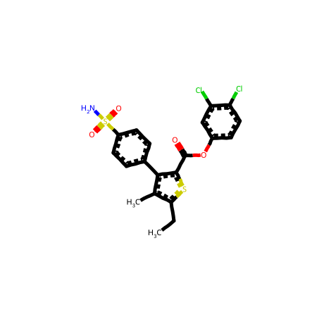 CCc1sc(C(=O)Oc2ccc(Cl)c(Cl)c2)c(-c2ccc(S(N)(=O)=O)cc2)c1C